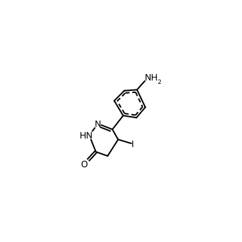 Nc1ccc(C2=NNC(=O)CC2I)cc1